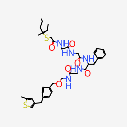 CCCC(C)(CC)SCC(=O)NCC(=O)NCC(=O)N[C@@H](Cc1ccccc1)C(=O)NCC(=O)NCOCc1ccc(Cc2csc(C)c2)cc1